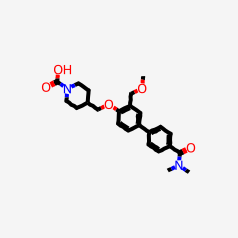 COCc1cc(-c2ccc(C(=O)N(C)C)cc2)ccc1OCC1CCN(C(=O)O)CC1